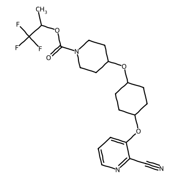 CC(OC(=O)N1CCC(OC2CCC(Oc3cccnc3C#N)CC2)CC1)C(F)(F)F